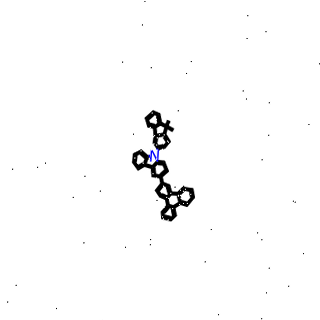 CC1(C)c2ccccc2-c2cc(-n3c4ccccc4c4cc(-c5ccc6c7ccccc7c7ccccc7c6c5)ccc43)ccc21